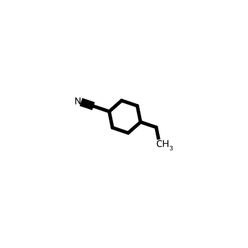 CCC1CCC(C#N)CC1